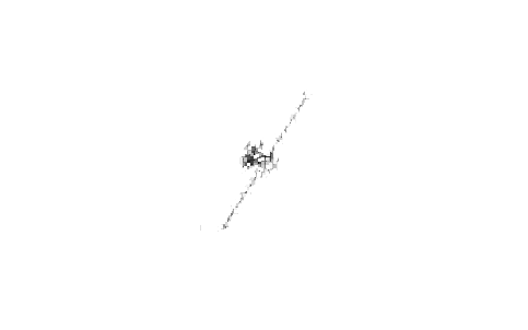 CCCC(=O)C(O)C(O)(CO)C(=O)CCC.CCCCCCCCCCCCCCCCCC(=O)C(O)C(O)C(O)C(=O)CCCCCCCCCCCCCCCCC